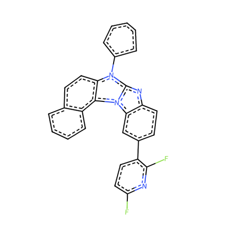 Fc1ccc(-c2ccc3nc4n(-c5ccccc5)c5ccc6ccccc6c5n4c3c2)c(F)n1